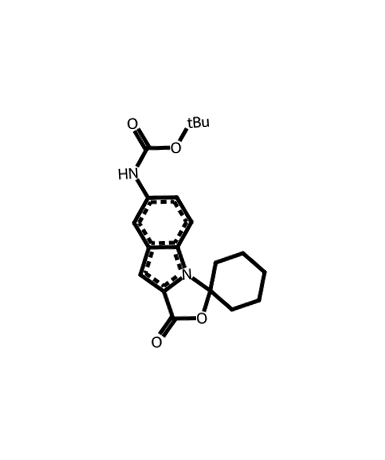 CC(C)(C)OC(=O)Nc1ccc2c(c1)cc1n2C2(CCCCC2)OC1=O